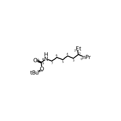 CCCC(CC)CCCCCNC(=O)OC(C)(C)C